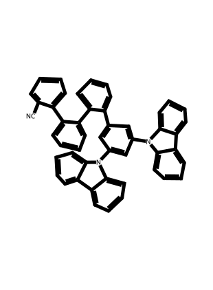 N#Cc1ccccc1-c1ccccc1-c1ccccc1-c1cc(-n2c3ccccc3c3ccccc32)cc(-n2c3ccccc3c3ccccc32)c1